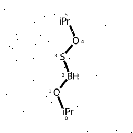 CC(C)OBSOC(C)C